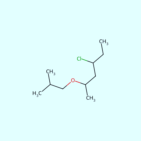 CCC(Cl)CC(C)OCC(C)C